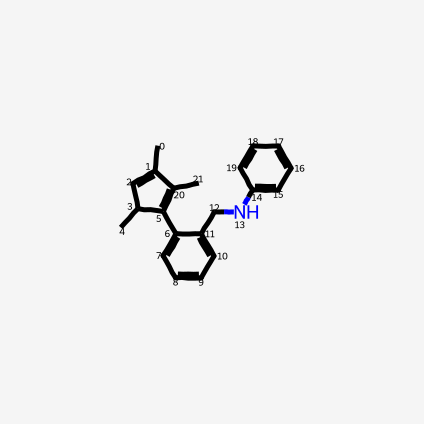 CC1=CC(C)C(c2ccccc2CNc2ccccc2)=C1C